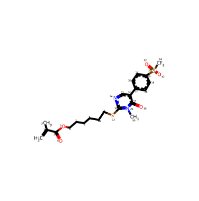 C=C(C)C(=O)OCCCCCCSc1ncc(-c2ccc(S(=O)(=O)C(F)(F)F)cc2)c(=O)n1C